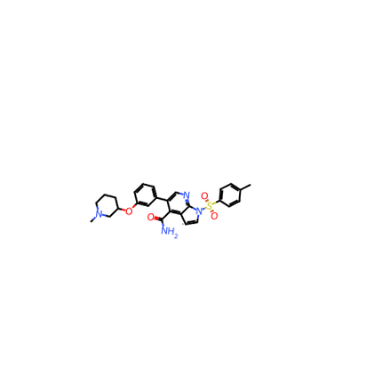 Cc1ccc(S(=O)(=O)n2c[c]c3c(C(N)=O)c(-c4cccc(OC5CCCN(C)C5)c4)cnc32)cc1